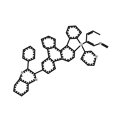 C=N/C=C(\C=C/C)[Si]1(c2cccnc2)c2ccccc2-c2c1ccc1c3ccc(-c4nc5ccccc5nc4-c4ccccc4)cc3c3ccccc3c21